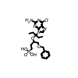 CCC(CC)(OC(CCP(=O)(O)O)COCc1ccccc1)n1cnc2c(Cl)nc(N)nc21